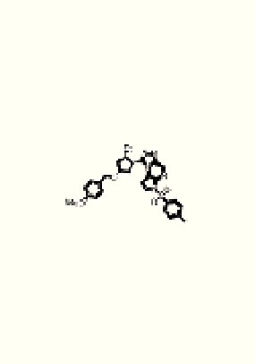 CC[C@H]1C[C@@H](OCc2ccc(OC)cc2)C[C@@H]1c1nnc2cnc3c(ccn3S(=O)(=O)c3ccc(C)cc3)n12